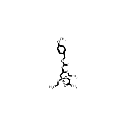 CCOP(=O)(CC(=NC(=O)OCc1ccc(OC)cc1)SCC)OCC(C)=O